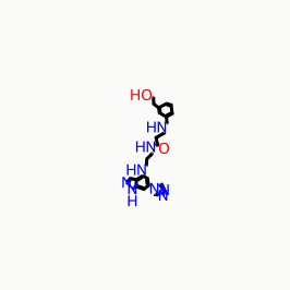 O=C(CCNCc1cccc(CCO)c1)NCCCNc1cc(-n2cnnc2)cc2[nH]ncc12